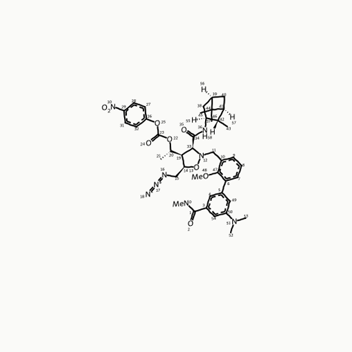 CNC(=O)c1cc(-c2cccc(CN3O[C@@H](CN=[N+]=[N-])[C@@H]([C@H](C)OC(=O)Oc4ccc([N+](=O)[O-])cc4)[C@H]3C(=O)N[C@H]3C[C@H]4C[C@@H]([C@@H]3C)C4(C)C)c2OC)cc(N(C)C)c1